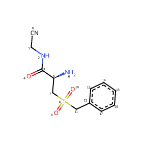 N#CCNC(=O)[C@@H](N)CS(=O)(=O)Cc1ccccc1